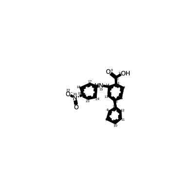 O=C(O)c1ccc(-c2ccccc2)cc1Nc1ccc([N+](=O)[O-])cc1